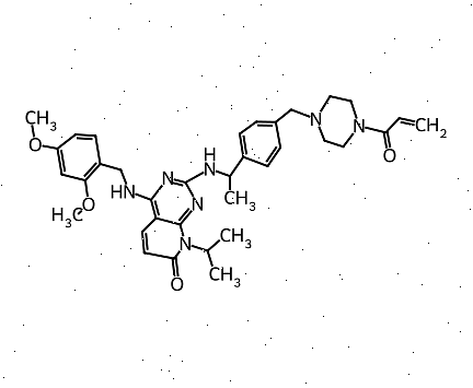 C=CC(=O)N1CCN(Cc2ccc(C(C)Nc3nc(NCc4ccc(OC)cc4OC)c4ccc(=O)n(C(C)C)c4n3)cc2)CC1